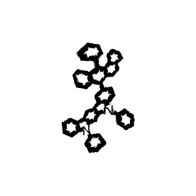 c1ccc(-c2c3ccccc3c(-c3ccc4c(c3)c3cc5c6ccccc6n(-c6ccccc6)c5cc3n4-c3ccccc3)c3ccc4ccccc4c23)cc1